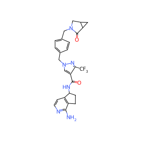 Nc1nccc2c1CCC2NC(=O)c1cn(Cc2ccc(CN3CC4CC4C3=O)cc2)nc1C(F)(F)F